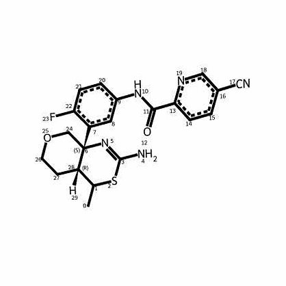 CC1SC(N)=N[C@@]2(c3cc(NC(=O)c4ccc(C#N)cn4)ccc3F)COCC[C@@H]12